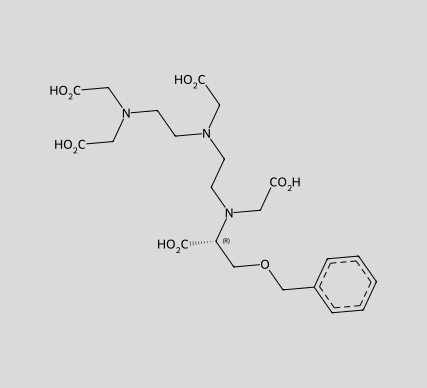 O=C(O)CN(CCN(CC(=O)O)CC(=O)O)CCN(CC(=O)O)[C@H](COCc1ccccc1)C(=O)O